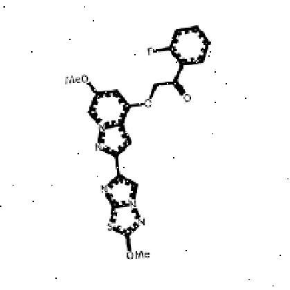 COc1cc(OCC(=O)c2ccccc2F)c2cc(-c3cn4nc(OC)sc4n3)nn2c1